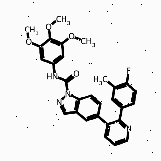 COc1cc(NC(=O)n2ncc3cc(-c4cccnc4-c4ccc(F)c(C)c4)ccc32)cc(OC)c1OC